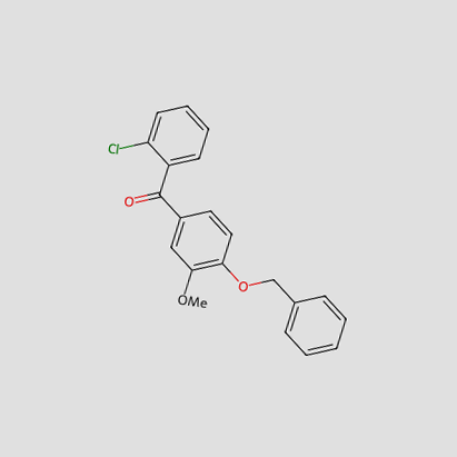 COc1cc(C(=O)c2ccccc2Cl)ccc1OCc1ccccc1